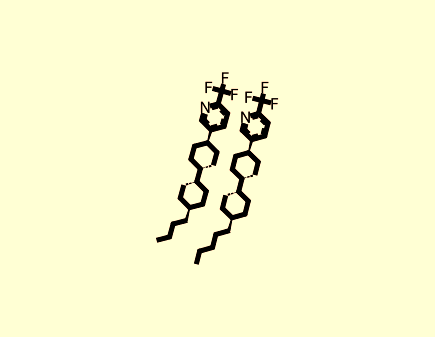 CCCCC[C@H]1CC[C@H]([C@H]2CC[C@H](c3ccc(C(F)(F)F)nc3)CC2)CC1.CCCC[C@H]1CC[C@H]([C@H]2CC[C@H](c3ccc(C(F)(F)F)nc3)CC2)CC1